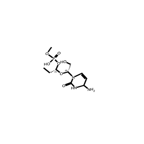 CC[C@@H](O[C@H](CO)N1C=CC(N)NC1=O)OP(=O)(O)OC